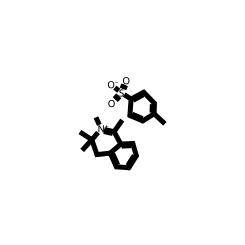 CC1=[N+](C)C(C)(C)Cc2ccccc21.Cc1ccc(S(=O)(=O)[O-])cc1